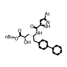 CCCCOC(=O)[C@H](O)C[C@@H](Cc1ccc(-c2ccccc2)cc1)NC(=O)c1cc(C(C)=O)n[nH]1